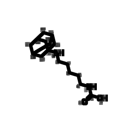 O=C(O)NCCCCCNC12CC3CC(CC(C3)C1)C2